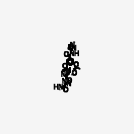 CNC(=O)c1noc(-c2cnc(Oc3cc(O[C@@H](C)COC)cc(C(=O)Nc4ccn(C)n4)c3)cn2)n1